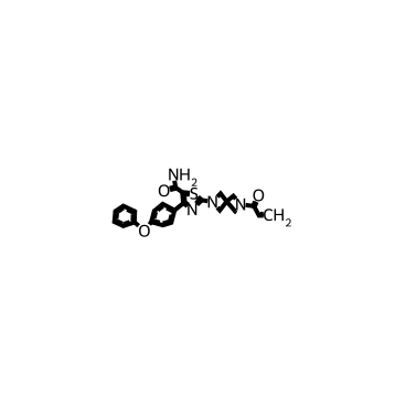 C=CC(=O)N1CC2(C1)CN(c1nc(-c3ccc(Oc4ccccc4)cc3)c(C(N)=O)s1)C2